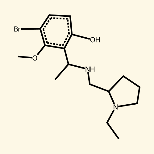 CCN1CCCC1CNC(C)c1c(O)ccc(Br)c1OC